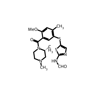 COc1cc(C)c(Sc2cnc(NC=O)s2)cc1C(=O)N1CCN(C)C[C@H]1C